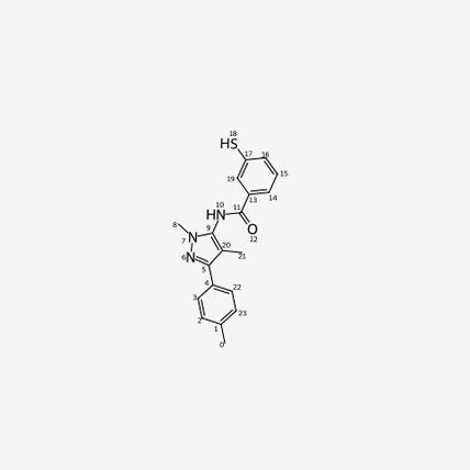 Cc1ccc(-c2nn(C)c(NC(=O)c3cccc(S)c3)c2C)cc1